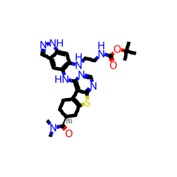 CN(C)C(=O)[C@H]1CCc2c(sc3ncnc(Nc4cc5cn[nH]c5cc4NCCNC(=O)OC(C)(C)C)c23)C1